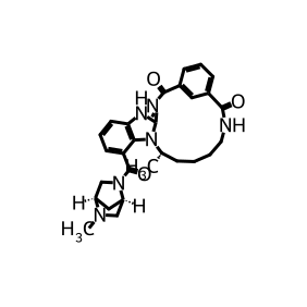 C[C@H]1CCCCNC(=O)c2cccc(c2)C(=O)/N=C2\Nc3cccc(C(=O)N4C[C@H]5C[C@@H]4CN5C)c3N21